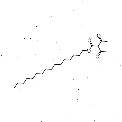 CCCCCCCCCCCCCCCCOC(=O)C(C(C)=O)C(C)=O